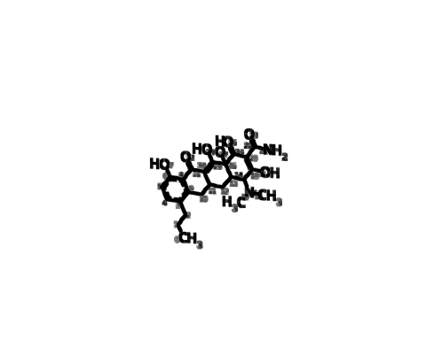 CCCc1ccc(O)c2c1CC1CC3C(N(C)C)C(O)=C(C(N)=O)C(=O)C3(O)C(O)=C1C2=O